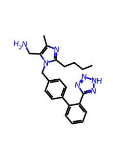 CCCCc1nc(C)c(CN)n1Cc1ccc(-c2ccccc2-c2nn[nH]n2)cc1